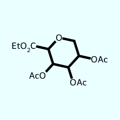 CCOC(=O)C1OCC(OC(C)=O)C(OC(C)=O)C1OC(C)=O